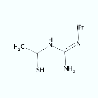 CC(C)N=C(N)NC(C)S